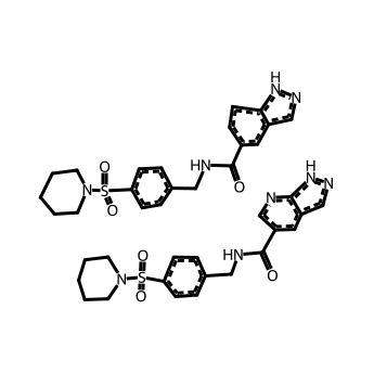 O=C(NCc1ccc(S(=O)(=O)N2CCCCC2)cc1)c1ccc2[nH]ncc2c1.O=C(NCc1ccc(S(=O)(=O)N2CCCCC2)cc1)c1cnc2[nH]ncc2c1